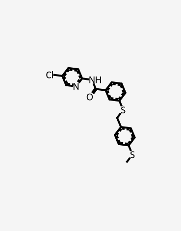 CSc1ccc(CSc2cccc(C(=O)Nc3ccc(Cl)cn3)c2)cc1